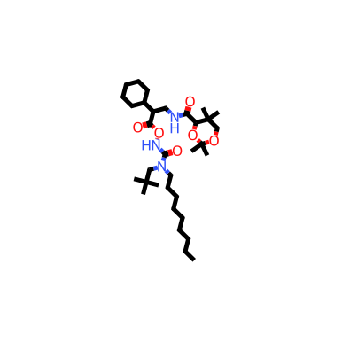 CCCCCCCCCN(CC(C)(C)C)C(=O)NOC(=O)C(CNC(=O)C1OC(C)(C)OCC1(C)C)C1CCCCC1